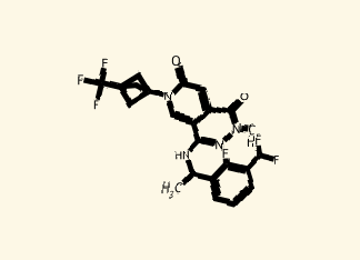 CC(Nc1nn(C)c(=O)c2cc(=O)n(C34CC(C(F)(F)F)(C3)C4)cc12)c1cccc(C(F)F)c1F